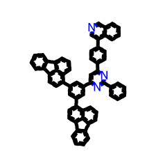 c1ccc(-c2nc(-c3ccc(-c4cncc5ccccc45)cc3)cc(-c3cc(-c4ccc5c6c(cccc46)-c4ccccc4-5)cc(-c4ccc5c6c(cccc46)-c4ccccc4-5)c3)n2)cc1